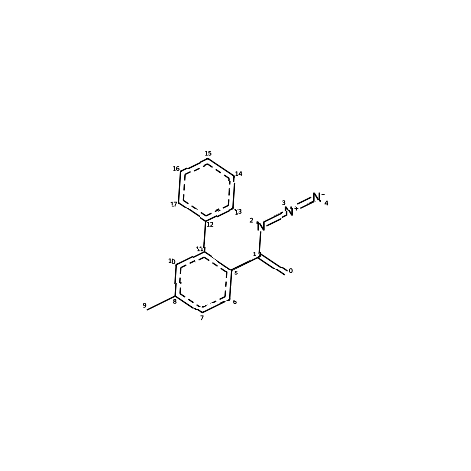 C=C(N=[N+]=[N-])c1ccc(C)cc1-c1ccccc1